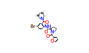 C[C@@H]1C[C@H](C)CN(C(=O)c2cc(Br)ccc2NC(=O)[C@@H]2CCCN2C(=O)c2ccco2)C1